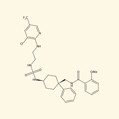 COc1ccccc1C(=O)NC[C@]1(c2ccccc2)CC[C@H](NS(=O)(=O)NCCNc2ncc(C(F)(F)F)cc2Cl)CC1